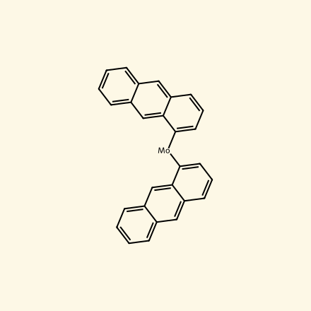 c1ccc2cc3[c]([Mo][c]4cccc5cc6ccccc6cc45)cccc3cc2c1